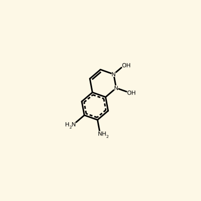 Nc1cc2c(cc1N)N(O)N(O)C=C2